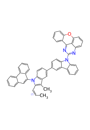 C/C=C\c1c(C)c2cc(-c3ccc4c(c3)c3ccccc3n4-c3nc4c5c(cccc5n3)Oc3ccccc3-4)ccc2n1-c1cc2ccccc2c2ccccc12